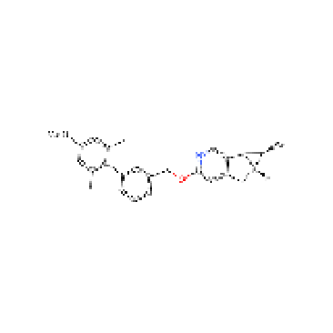 COc1cc(C)c(-c2cccc(COc3cc4c(cn3)C3[C@@H](C4)[C@@H]3C(C)=O)c2)c(C)c1